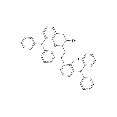 CCC1Cc2cccc(P(c3ccccc3)c3ccccc3)c2OC1CCc1cccc(P(c2ccccc2)c2ccccc2)c1O